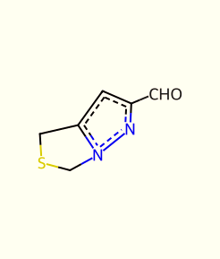 O=Cc1cc2n(n1)CSC2